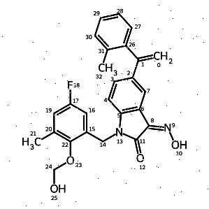 C=C(c1ccc2c(c1)/C(=N/O)C(=O)N2Cc1cc(F)cc(C)c1OCO)c1ccccc1C